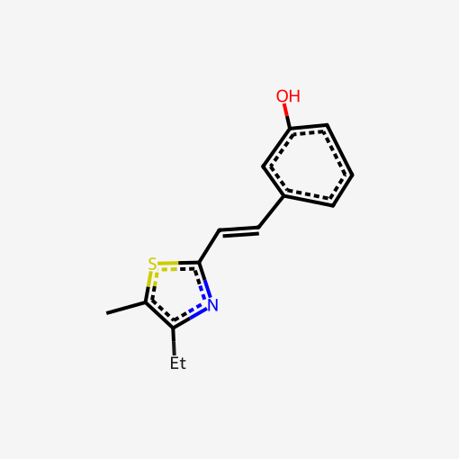 CCc1nc(C=Cc2cccc(O)c2)sc1C